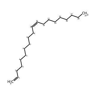 C=C[CH]CCCCCCC/C=C\CCCCCCCC